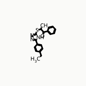 CCc1ccc(-c2nnc(SC(C)C(=O)c3ccccc3)[nH]2)cc1